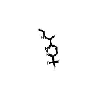 CCNC(C)c1ccc(C(F)(F)F)nn1